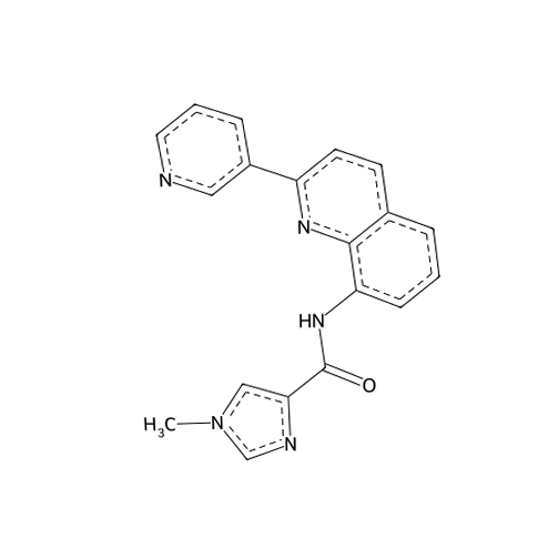 Cn1cnc(C(=O)Nc2cccc3ccc(-c4cccnc4)nc23)c1